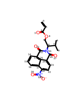 C=CC(=O)OCC(C(C)C)N1C(=O)c2cccc3c([N+](=O)[O-])ccc(c23)C1=O